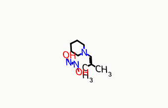 CC(C)=CN1CCCCC1.ON=NO